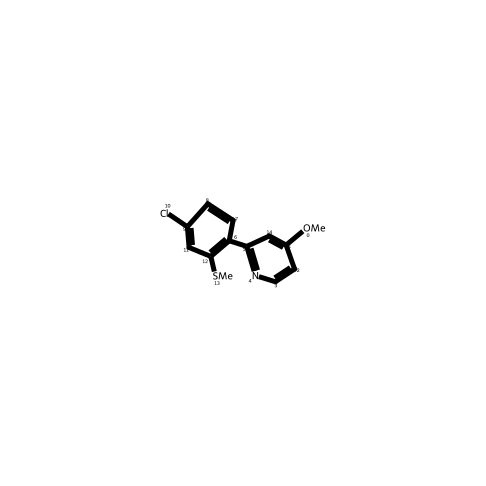 COc1ccnc(-c2ccc(Cl)cc2SC)c1